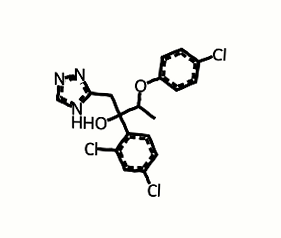 CC(Oc1ccc(Cl)cc1)C(O)(Cc1nnc[nH]1)c1ccc(Cl)cc1Cl